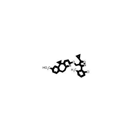 Cc1cccc(Cl)c1-c1noc(C2CC2)c1COc1ccc2c(n1)CCc1ccc(C(=O)O)cc1C21CC1